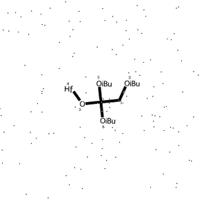 CC(C)COCC([O][Hf])(OCC(C)C)OCC(C)C